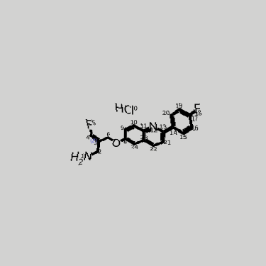 Cl.NC/C(=C/F)COc1ccc2nc(-c3ccc(F)cc3)ccc2c1